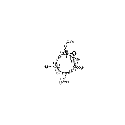 COCCOCCNC(=O)[C@@H]1CSCCCC(=O)N[C@@H](CCCCN)C(=O)N[C@@H](CS)C(=O)N[C@@H](CCCNC(=N)N)C(=O)NCC(=O)N[C@@H](CC(=O)O)C(=O)N[C@@H](CS)C(=O)N[C@@H](Cc2ccccc2)C(=O)N1